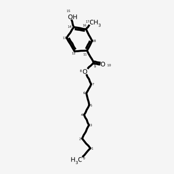 CCCCCCCCOC(=O)c1ccc(O)c(C)c1